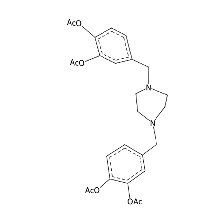 CC(=O)Oc1ccc(CN2CCN(Cc3ccc(OC(C)=O)c(OC(C)=O)c3)CC2)cc1OC(C)=O